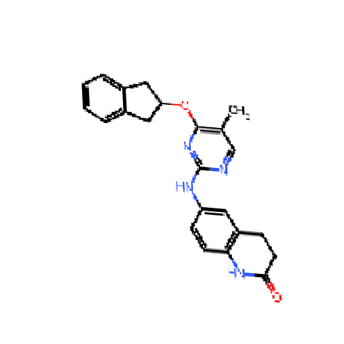 Cc1cnc(Nc2ccc3c(c2)CCC(=O)N3)nc1OC1Cc2ccccc2C1